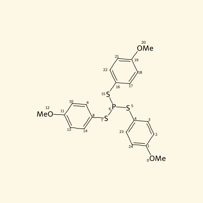 COc1ccc(SP(Sc2ccc(OC)cc2)Sc2ccc(OC)cc2)cc1